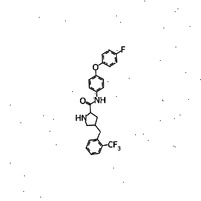 O=C(Nc1ccc(Oc2ccc(F)cc2)cc1)C1CC(Cc2ccccc2C(F)(F)F)CN1